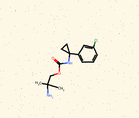 CC(C)(N)COC(=O)NC1(c2cccc(Cl)c2)CC1